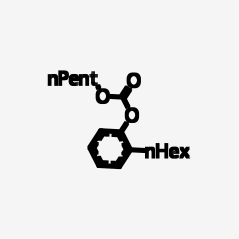 CCCCCCc1ccccc1OC(=O)OCCCCC